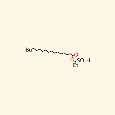 CCC(C)CCCCCCCCCCCCCC(=O)OC(CC)S(=O)(=O)O